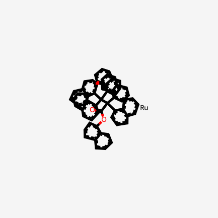 O=C(Oc1cccc2ccccc12)C(c1cccc2ccccc12)(c1cccc2ccccc12)C(c1cccc2ccccc12)(c1cccc2ccccc12)c1cccc2ccccc12.[Ru]